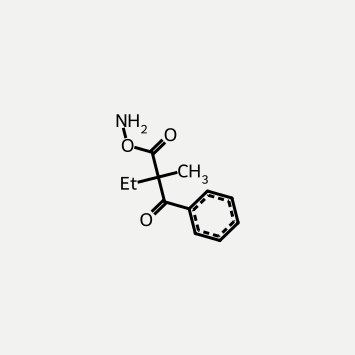 CCC(C)(C(=O)ON)C(=O)c1ccccc1